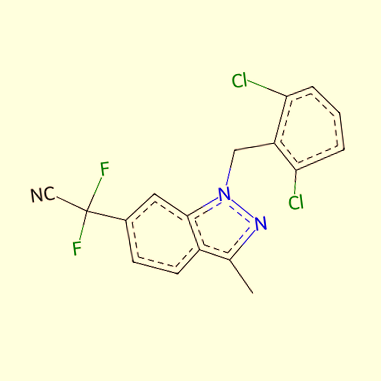 Cc1nn(Cc2c(Cl)cccc2Cl)c2cc(C(F)(F)C#N)ccc12